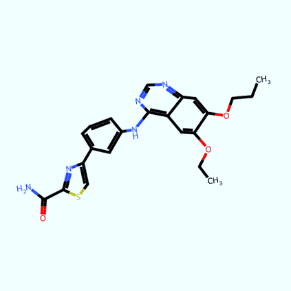 CCCOc1cc2ncnc(Nc3cccc(-c4csc(C(N)=O)n4)c3)c2cc1OCC